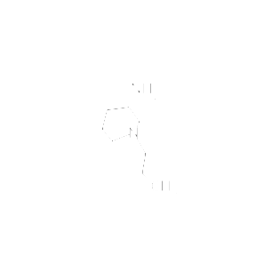 CCCN1CCC[C@H](N)C1